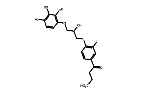 CCCc1c(OCC(O)CSc2ccc(C(=O)CCC(=O)O)cc2F)ccc(C(C)=O)c1O